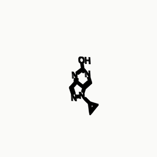 Oc1ncc2c(cnn2C2CC2)n1